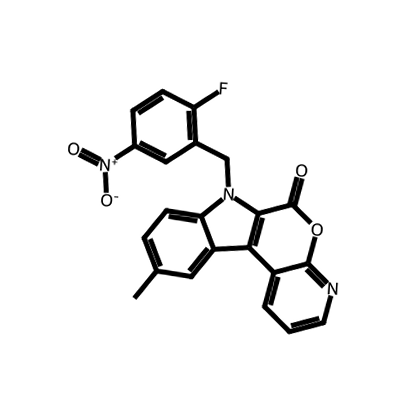 Cc1ccc2c(c1)c1c3cccnc3oc(=O)c1n2Cc1cc([N+](=O)[O-])ccc1F